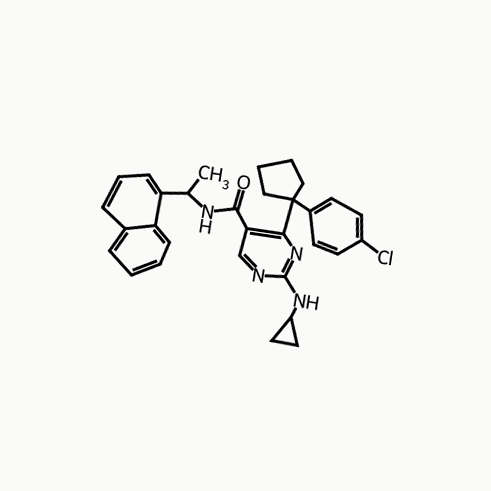 CC(NC(=O)c1cnc(NC2CC2)nc1C1(c2ccc(Cl)cc2)CCCC1)c1cccc2ccccc12